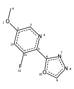 COc1cnc(-c2nnco2)c(F)c1